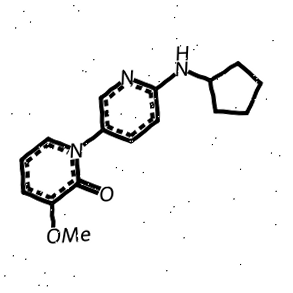 COc1cccn(-c2ccc(NC3CCCC3)nc2)c1=O